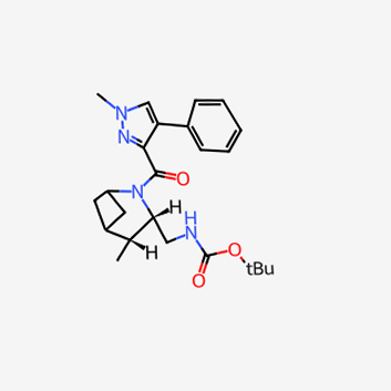 C[C@@H]1C2CC(C2)N(C(=O)c2nn(C)cc2-c2ccccc2)[C@@H]1CNC(=O)OC(C)(C)C